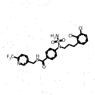 NS(=O)(=O)N(CCCc1cccc(Cl)c1Cl)c1ccc(C(=O)NCc2ccc(C(F)(F)F)nc2)cc1